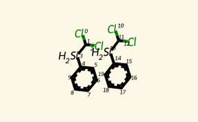 ClC(Cl)[SiH2]c1ccccc1.ClC(Cl)[SiH2]c1ccccc1